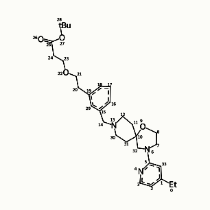 CCc1ccnc(N2CCOC3(CCN(Cc4cccc(CCOCCC(=O)OC(C)(C)C)c4)CC3)C2)c1